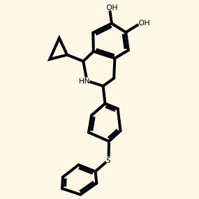 Oc1cc2c(cc1O)C(C1CC1)NC(c1ccc(Sc3ccccc3)cc1)C2